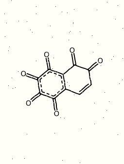 O=C1C=Cc2c(c(=O)c(=O)c(=O)c2=O)C1=O